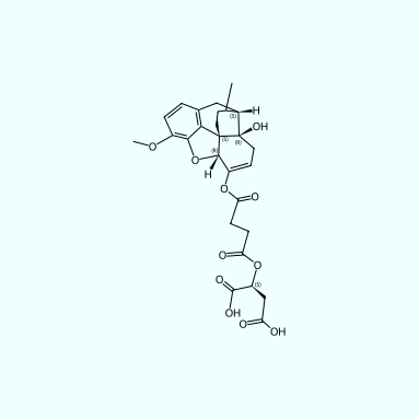 COc1ccc2c3c1O[C@H]1C(OC(=O)CCC(=O)O[C@@H](CC(=O)O)C(=O)O)=CC[C@@]4(O)[C@@H](C2)C(C)CC[C@]314